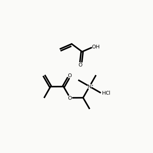 C=C(C)C(=O)OC(C)[N+](C)(C)C.C=CC(=O)O.Cl